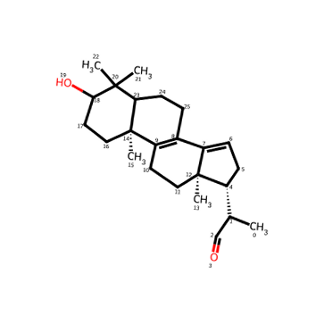 CC(C=O)[C@H]1CC=C2C3=C(CC[C@@]21C)[C@@]1(C)CCC(O)C(C)(C)C1CC3